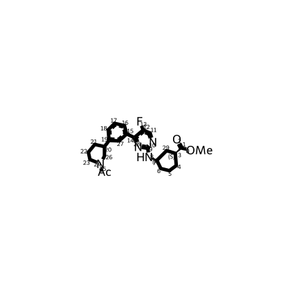 COC(=O)[C@H]1CCC[C@@H](Nc2ncc(F)c(-c3cccc(C4CCCN(C(C)=O)C4)c3)n2)C1